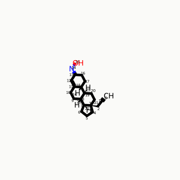 C#CC[C@@]12CCC[C@H]1[C@@H]1CCC3=CC(=NO)CC[C@@H]3[C@H]1CC2